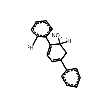 [2H]c1ccccc1C1=CC=C(c2ccccc2)CC1([2H])[N+](=O)[O-]